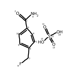 NC(=O)c1ccc(CF)cc1.O=S(=O)(O)O